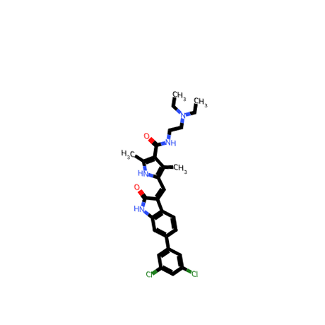 CCN(CC)CCNC(=O)c1c(C)[nH]c(C=C2C(=O)Nc3cc(-c4cc(Cl)cc(Cl)c4)ccc32)c1C